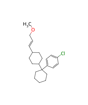 COC/C=C/C1CCC(C2(c3ccc(Cl)cc3)CCCCC2)CC1